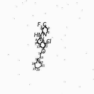 FC(F)(F)c1ccnc(Nc2ccc3cc(OCCCN4CCCCC4)cc(Cl)c3n2)c1